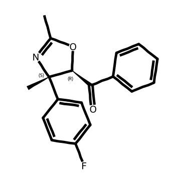 CC1=N[C@@](C)(c2ccc(F)cc2)[C@H](C(=O)c2ccccc2)O1